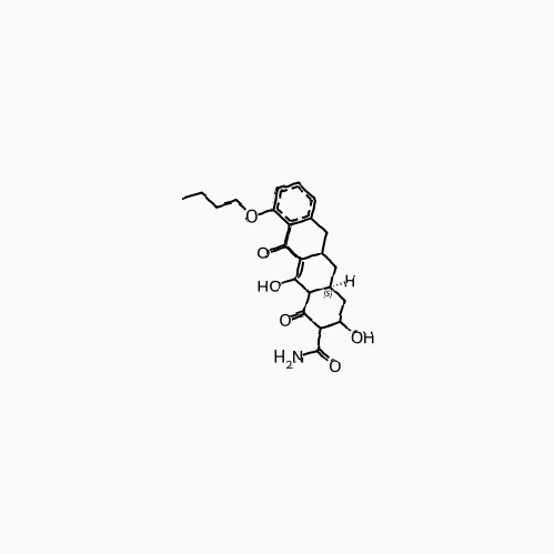 CCCCOc1cccc2c1C(=O)C1=C(O)C3C(=O)C(C(N)=O)C(O)C[C@@H]3CC1C2